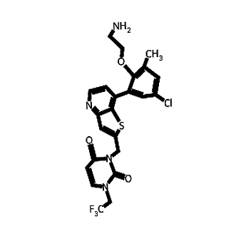 Cc1cc(Cl)cc(-c2ccnc3cc(Cn4c(=O)ccn(CC(F)(F)F)c4=O)sc23)c1OCCN